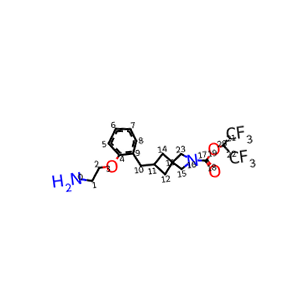 NCCOc1ccccc1CC1CC2(C1)CN(C(=O)OC(C(F)(F)F)C(F)(F)F)C2